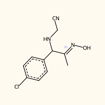 C/C(=N\O)C(NCC#N)c1ccc(Cl)cc1